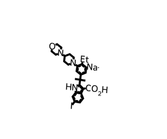 CCc1ccc(C(C)(C)c2[nH]c3cc(I)ccc3c2C(=O)O)cc1N1CCC(N2CCOCC2)CC1.[Na]